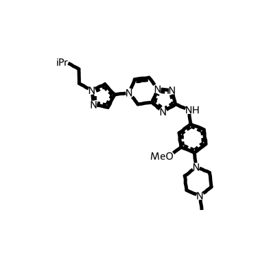 COc1cc(Nc2nc3n(n2)C=CN(c2cnn(CCC(C)C)c2)C3)ccc1N1CCN(C)CC1